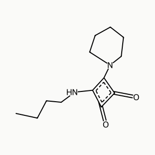 CCCCNc1c(N2CCCCC2)c(=O)c1=O